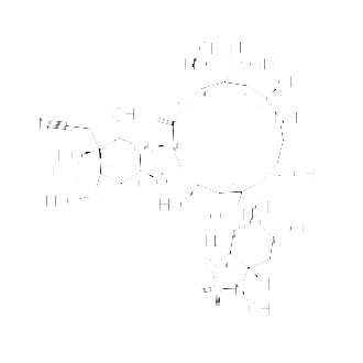 CC[C@H]1OC(=O)[C@H](C)[C@@H](O[C@H]2C[C@@](C)(OC)[C@](O)(CC#N)[C@H](C)O2)[C@H](C)[C@@H](O[C@@H]2O[C@H](C)C[C@H]3[C@H]2OS(=O)(=O)N3C)[C@](C)(O)C[C@@H](C)CN[C@H](C)[C@@H](O)[C@]1(C)O